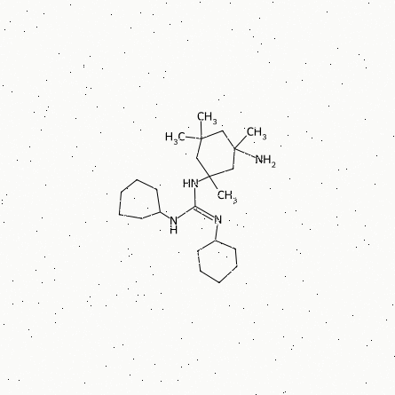 CC1(C)CC(C)(N)CC(C)(NC(=NC2CCCCC2)NC2CCCCC2)C1